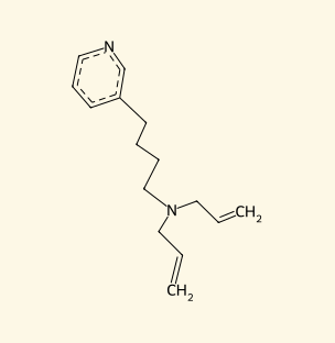 C=CCN(CC=C)CCCCc1cccnc1